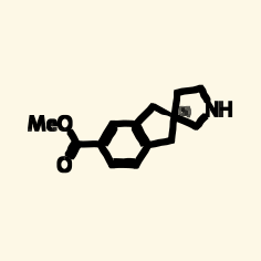 COC(=O)c1ccc2c(c1)C[C@]1(CCNC1)C2